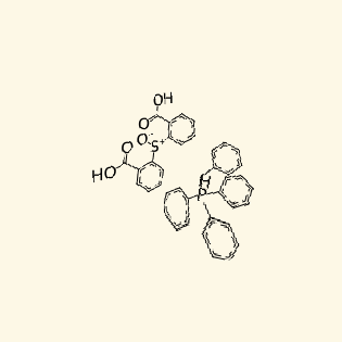 O=C(O)c1ccccc1[S+]([O-])c1ccccc1C(=O)O.c1ccc(C[PH](c2ccccc2)(c2ccccc2)c2ccccc2)cc1